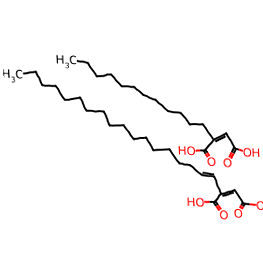 CCCCCCCCCCCC/C(=C/C(=O)O)C(=O)O.CCCCCCCCCCCCCCCCC=C/C(=C/C(=O)O)C(=O)O